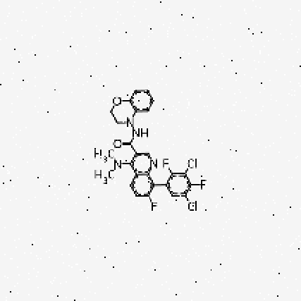 CN(C)c1c(C(=O)NN2CCOc3ccccc32)cnc2c(-c3cc(Cl)c(F)c(Cl)c3F)c(F)ccc12